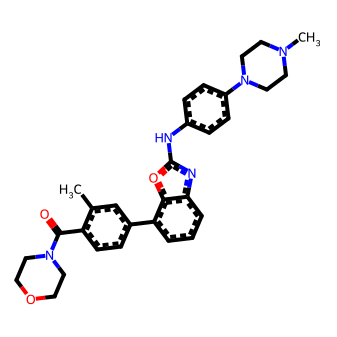 Cc1cc(-c2cccc3nc(Nc4ccc(N5CCN(C)CC5)cc4)oc23)ccc1C(=O)N1CCOCC1